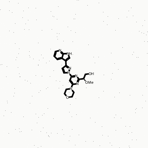 CO[C@H](CO)c1nc(N2CCOCC2)cc(-n2ccc(-c3c[nH]c4ncccc34)n2)n1